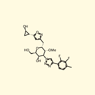 CO[C@@H]1[C@@H](n2cc(-c3ccc(C)c(F)c3F)nn2)[C@@H](O)[C@@H](CO)O[C@@H]1Cc1cc([C@@H]2C[C@H]2O)on1